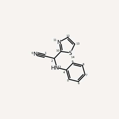 N#CC(Nc1ccccc1)c1nccs1